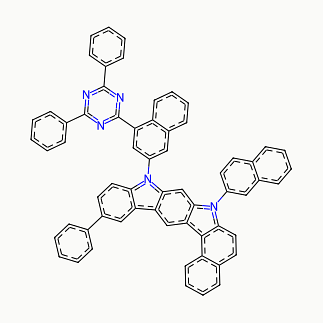 c1ccc(-c2ccc3c(c2)c2cc4c5c6ccccc6ccc5n(-c5ccc6ccccc6c5)c4cc2n3-c2cc(-c3nc(-c4ccccc4)nc(-c4ccccc4)n3)c3ccccc3c2)cc1